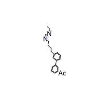 C/C=N\C=N/CCCCc1cccc(-c2cccc(C(C)=O)c2)c1